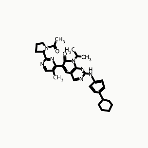 CC(=O)N1CCCC1c1ncc(C)c(-c2cc3cnc(Nc4ccc(C5CCCCC5)cc4)nc3n(C(C)C)c2=O)n1